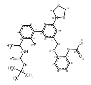 CC(NC(=O)OC(C)(C)C)c1cccc(-c2cc(COc3ccccc3CC(=O)O)cc(N3CCCC3)c2)c1F